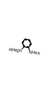 CCCCCCCc1ccccc1CCCCCC